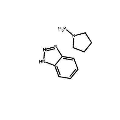 PN1CCCC1.c1ccc2[nH]nnc2c1